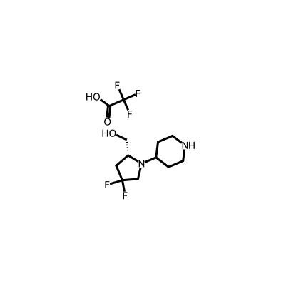 O=C(O)C(F)(F)F.OC[C@H]1CC(F)(F)CN1C1CCNCC1